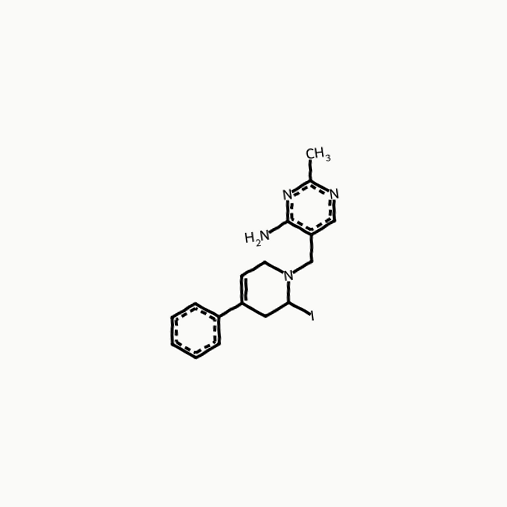 Cc1ncc(CN2CC=C(c3ccccc3)CC2I)c(N)n1